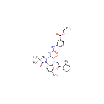 CCOC(=O)c1cccc(NC(=O)NC2CN(C(=O)C(C)(C)C)c3ccc(C)cc3N(CC(=O)c3ccccc3C)C2=O)c1